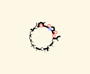 CC[C@@H](C)[C@@H]1CC[C@H](C)CC(C)[C@H](C)CC[C@H](C)C[C@H](C)CCCCCC(C)CC[C@@H]2CC[C@@H](C)C(CC(=O)N3CCCC3C(=O)O1)O2